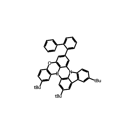 CC(C)(C)c1ccc2c(c1)B1c3c(cc(-c4ccccc4-c4ccccc4)cc3-n3c4ccc(C(C)(C)C)cc4c4cc(C(C)(C)C)cc1c43)O2